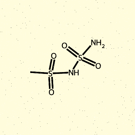 CS(=O)(=O)NS(N)(=O)=O